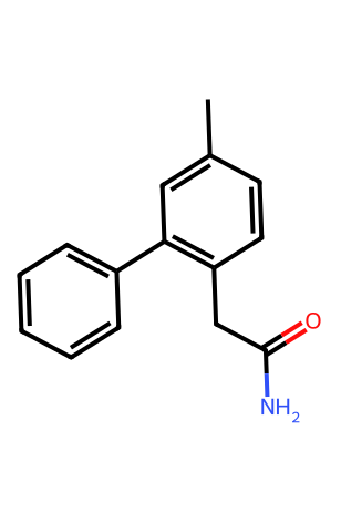 Cc1ccc(CC(N)=O)c(-c2ccccc2)c1